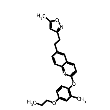 CCCOc1ccc(Oc2ccc3cc(CCc4cc(C)on4)ccc3n2)c(C)c1